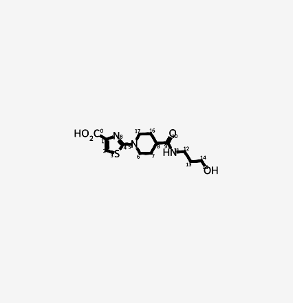 O=C(O)c1csc(N2CCC(C(=O)NCCCO)CC2)n1